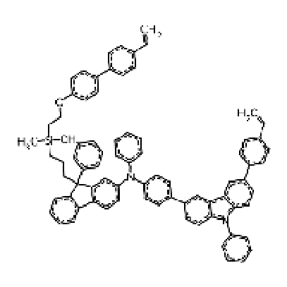 C=Cc1ccc(-c2ccc(OCC[Si](C)(C)CCCC3(c4ccccc4)c4ccccc4-c4ccc(N(c5ccccc5)c5ccc(-c6ccc7c(c6)c6cc(-c8ccc(C=C)cc8)ccc6n7-c6ccccc6)cc5)cc43)cc2)cc1